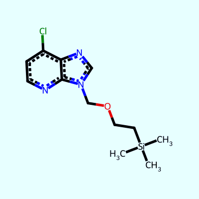 C[Si](C)(C)CCOCn1cnc2c(Cl)ccnc21